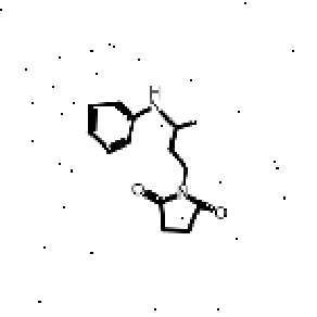 CC(CCN1C(=O)CCC1=O)Nc1ccccc1